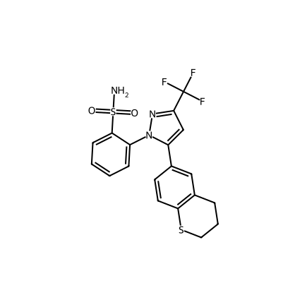 NS(=O)(=O)c1ccccc1-n1nc(C(F)(F)F)cc1-c1ccc2c(c1)CCCS2